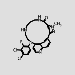 Cn1nc2cc1C(=O)NCCCNCCN(c1ccc(Cl)c(Cl)c1F)c1ccnc3ccc-2cc13